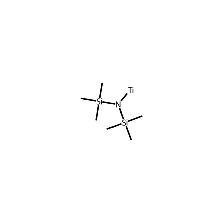 C[Si](C)(C)[N]([Ti])[Si](C)(C)C